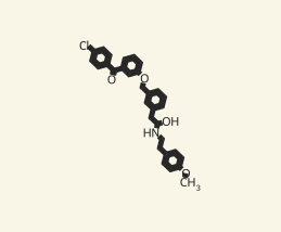 COc1ccc(CCNC(O)Cc2cccc(COc3cccc(C(=O)c4ccc(Cl)cc4)c3)c2)cc1